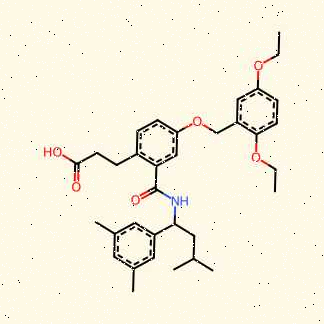 CCOc1ccc(OCC)c(COc2ccc(CCC(=O)O)c(C(=O)NC(CC(C)C)c3cc(C)cc(C)c3)c2)c1